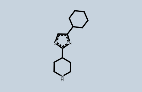 c1sc(C2CCNCC2)nc1C1CCCCC1